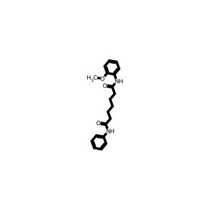 COc1ccccc1NC(=O)CCCCCC(=O)Nc1ccccc1